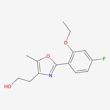 CCOc1cc(F)ccc1-c1nc(CCO)c(C)o1